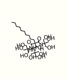 CCCCCCCCCCC(C(=O)NC(CO)(CO)CO)(C(=O)NC(CO)(CO)CO)C(=O)NC(CO)(CO)CO